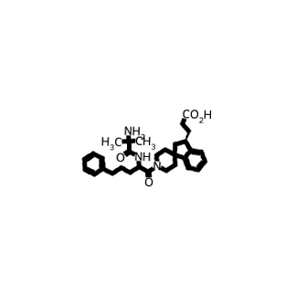 CC(C)(N)C(=O)NC(CCCc1ccccc1)C(=O)N1CCC2(CC1)C[C@@H](CCC(=O)O)c1ccccc12